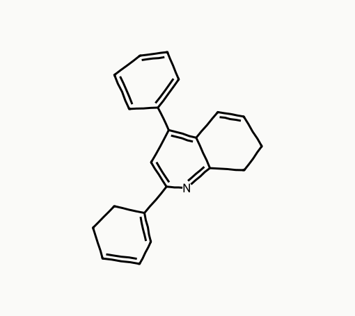 C1=CCCC(c2cc(-c3ccccc3)c3c(n2)CCC=C3)=C1